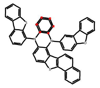 c1ccc(N(c2ccc3sc4c5ccccc5ccc4c3c2N(c2ccccc2)c2ccc3oc4ccccc4c3c2)c2cccc3c2sc2ccccc23)cc1